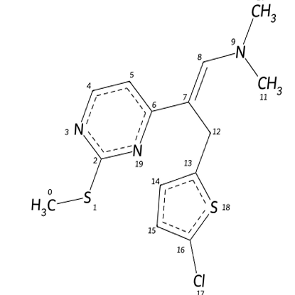 CSc1nccc(C(=CN(C)C)Cc2ccc(Cl)s2)n1